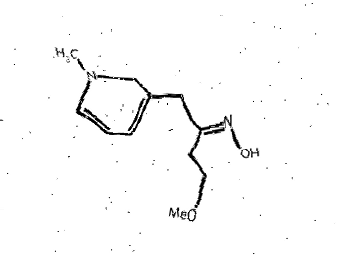 COCC/C(CC1=CC=CN(C)C1)=N\O